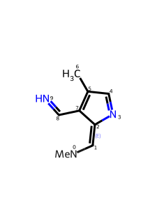 CN/C=C1/N=CC(C)=C1C=N